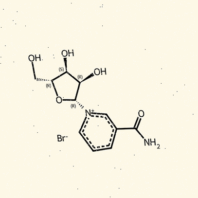 NC(=O)c1ccc[n+]([C@@H]2O[C@H](CO)[C@@H](O)[C@H]2O)c1.[Br-]